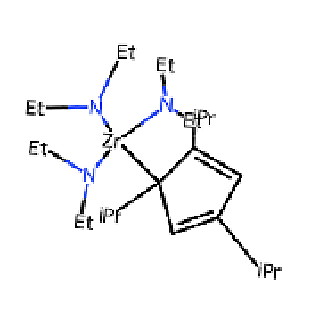 CC[N](CC)[Zr]([N](CC)CC)([N](CC)CC)[C]1(C(C)C)C=C(C(C)C)C=C1C(C)C